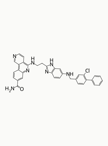 NC(=O)c1ccc2c(c1)nc(NCCc1nc3ccc(NCc4ccc(-c5ccccc5)c(Cl)c4)cc3[nH]1)c1ccncc12